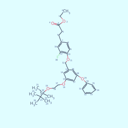 CCOC(=O)CCc1ccc(OCc2cc(OCCO[Si](C)(C)C(C)(C)C)cc(Oc3ccccc3)c2)c(F)c1